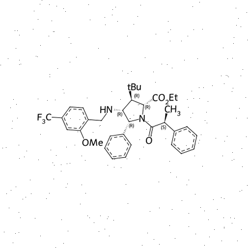 CCOC(=O)[C@H]1[C@H](C(C)(C)C)[C@@H](NCc2ccc(C(F)(F)F)cc2OC)[C@@H](c2ccccc2)N1C(=O)[C@@H](C)c1ccccc1